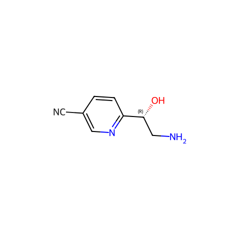 N#Cc1ccc([C@H](O)CN)nc1